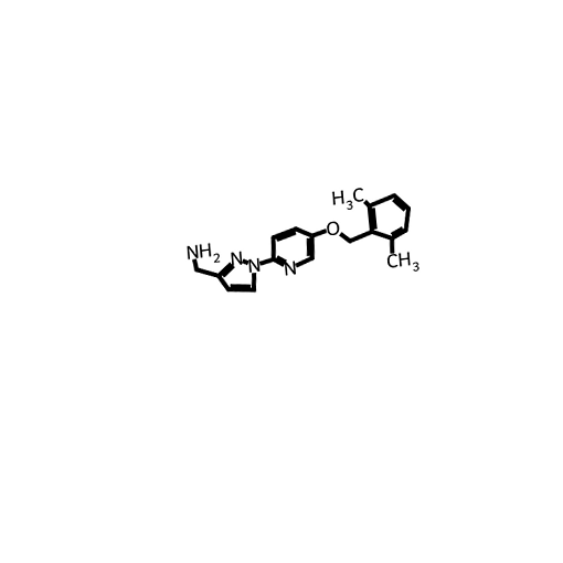 Cc1cccc(C)c1COc1ccc(-n2ccc(CN)n2)nc1